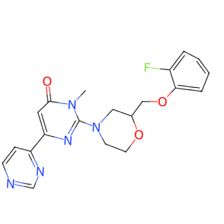 Cn1c(N2CCOC(COc3ccccc3F)C2)nc(-c2ccncn2)cc1=O